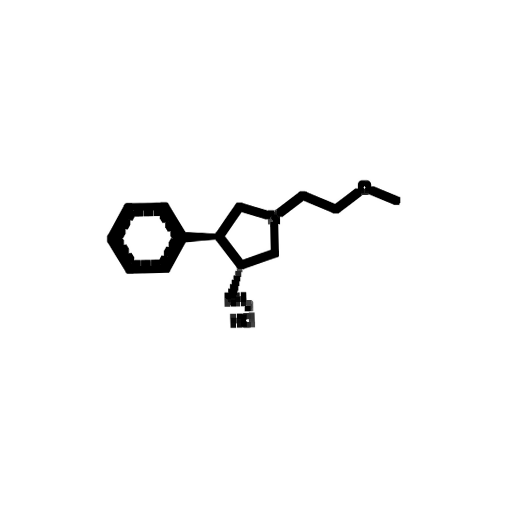 COCCN1C[C@H](c2ccccc2)[C@@H](N)C1.Cl